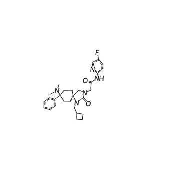 CN(C)[C@]1(c2ccccc2)CC[C@@]2(CC1)CN(CC(=O)Nc1ccc(F)cn1)C(=O)N2CC1CCC1